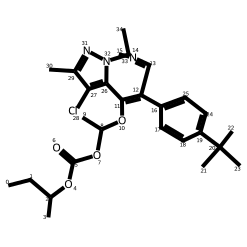 CCC(C)OC(=O)OC(C)O/C(=C(/C=N\C)c1ccc(C(C)(C)C)cc1)c1c(Cl)c(C)nn1CC